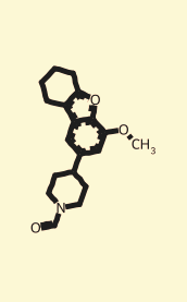 COc1cc(C2CCN(C=O)CC2)cc2c3c(oc12)CCCC3